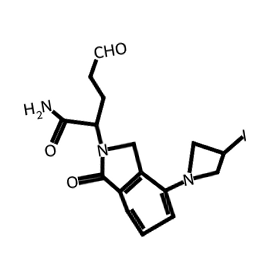 NC(=O)C(CCC=O)N1Cc2c(cccc2N2CC(I)C2)C1=O